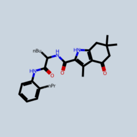 CCCCC(NC(=O)c1[nH]c2c(c1C)C(=O)CC(C)(C)C2)C(=O)Nc1ccccc1CCC